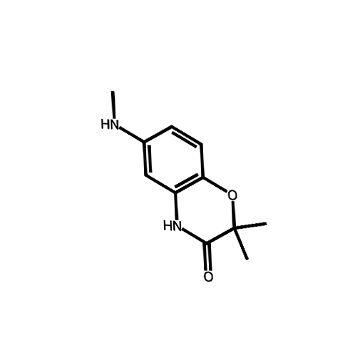 CNc1ccc2c(c1)NC(=O)C(C)(C)O2